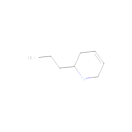 CCCC1CC=CC[N]1